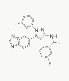 Cc1cccc(-n2nc(NC(C)c3cccc(F)c3)cc2-c2ccc3ncnn3c2)n1